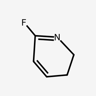 FC1=NCCC=C1